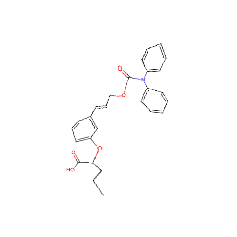 CCCC(Oc1cccc(C=CCOC(=O)N(c2ccccc2)c2ccccc2)c1)C(=O)O